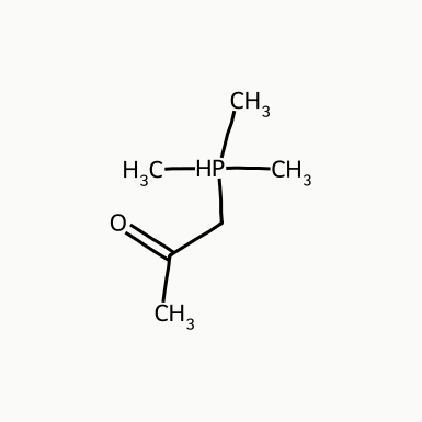 CC(=O)C[PH](C)(C)C